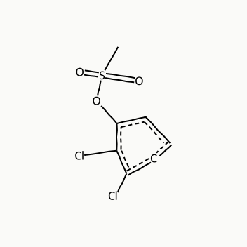 CS(=O)(=O)Oc1cccc(Cl)c1Cl